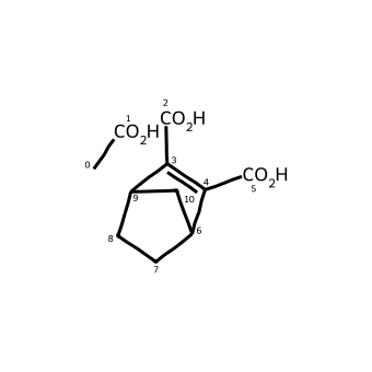 CC(=O)O.O=C(O)C1=C(C(=O)O)C2CCC1C2